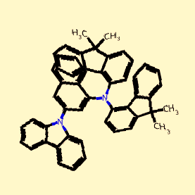 CC1(C)c2ccccc2-c2c(N(c3cccc4c3-c3ccccc3C4(C)C)c3cc(-n4c5ccccc5c5ccccc54)cc4ccccc34)cccc21